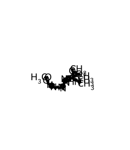 COc1cc(OC)cc(N(CCNC(C)C)c2ccc3ncc(C4C=NN(CCCN5CCN(CCOC(C)=O)CC5)C4)nc3c2)c1